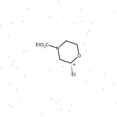 CCOC(=O)N1CCO[C@H](CC)C1